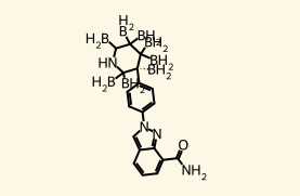 BC1NC(B)(B)[C@](B)(c2ccc(-n3cc4cccc(C(N)=O)c4n3)cc2)C(B)(B)C1(B)B